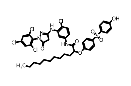 CCCCCCCCCCC(Oc1ccc(S(=O)(=O)c2ccc(O)cc2)cc1)C(=O)Nc1ccc(Cl)c(NC2=NN(c3c(Cl)cc(Cl)cc3Cl)C(=O)C2)c1